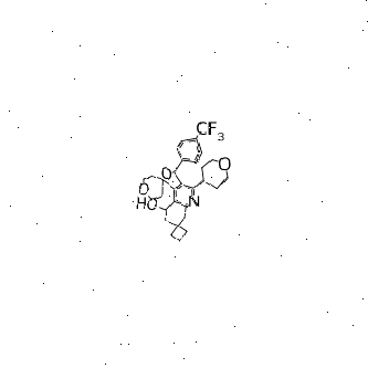 OC1CC2(CCC2)Cc2nc(C3CCOCC3)c3c(c21)C1(CCOCC1)OC3c1ccc(C(F)(F)F)cc1